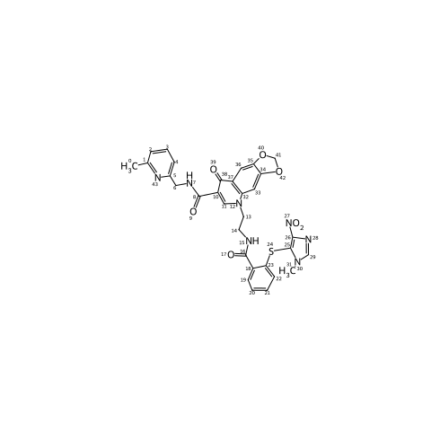 Cc1cccc(CNC(=O)c2cn(CCNC(=O)c3ccccc3Sc3c([N+](=O)[O-])ncn3C)c3cc4c(cc3c2=O)OCO4)n1